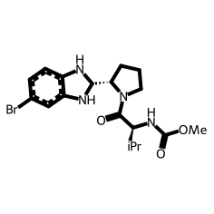 COC(=O)N[C@H](C(=O)N1CCC[C@H]1C1Nc2ccc(Br)cc2N1)C(C)C